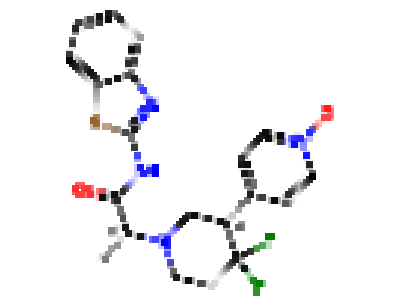 C[C@H](C(=O)Nc1nc2ccccc2s1)N1CCC(F)(F)[C@@H](c2cc[n+]([O-])cc2)C1